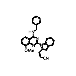 COc1cccc2c(NCc3ccccc3)nc(-n3c(/C=C\C#N)cc4ccccc43)nc12